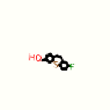 OCc1ccc2c(c1)Sc1ccc(F)cc1C=C2